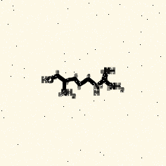 N=C(N)NCCCC(N)CO